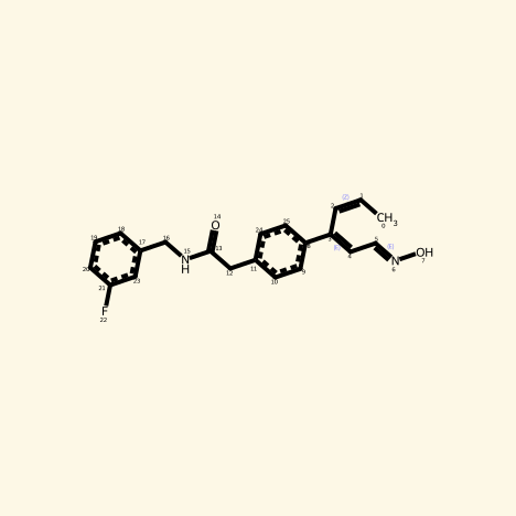 C\C=C/C(=C\C=N\O)c1ccc(CC(=O)NCc2cccc(F)c2)cc1